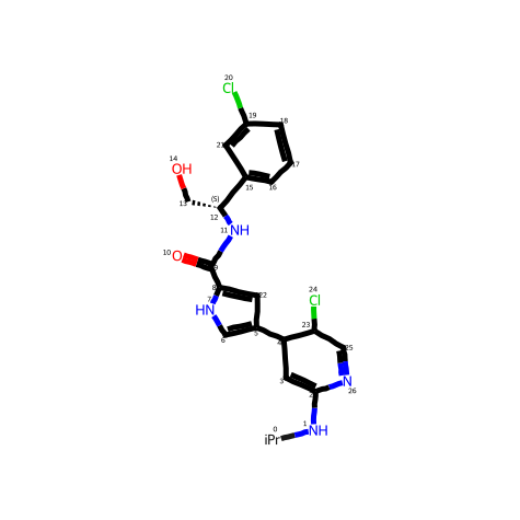 CC(C)NC1=CC(c2c[nH]c(C(=O)N[C@H](CO)c3cccc(Cl)c3)c2)C(Cl)C=N1